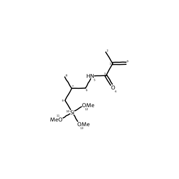 C=C(C)C(=O)NCC(C)C[Si](OC)(OC)OC